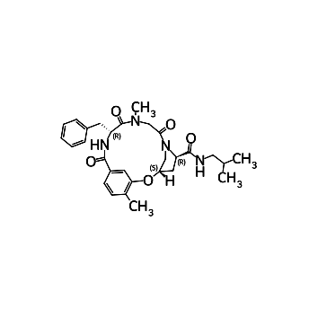 Cc1ccc2cc1O[C@H]1C[C@H](C(=O)NCC(C)C)N(C1)C(=O)CN(C)C(=O)[C@@H](Cc1ccccc1)NC2=O